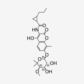 CCCC1CC1C(=O)Nc1c(O)c2ccc(O[C@@H]3OC(C)(C)[C@H](OC)[C@H](O)[C@H]3O)c(C)c2oc1=O